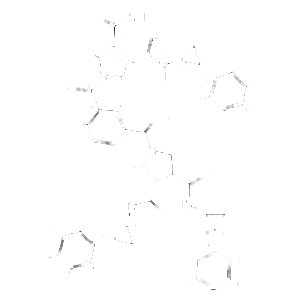 NC(=O)[C@@H]1CN(C(=O)c2cccc(C(=O)N3CC(C(=O)N[C@H]4C[C@@H]4c4ccccc4)[C@H](C(=O)N[C@H]4C[C@@H]4c4ccccc4)C3)c2)C[C@H]1C(=O)N[C@H]1C[C@@H]1c1ccccc1